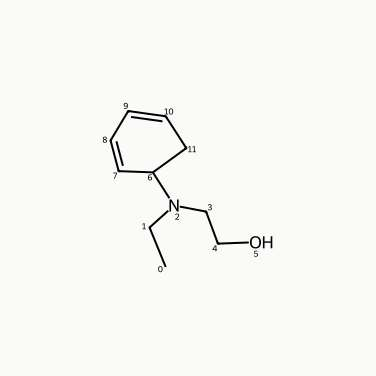 CCN(CCO)C1C=CC=CC1